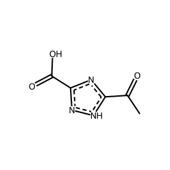 CC(=O)c1nc(C(=O)O)n[nH]1